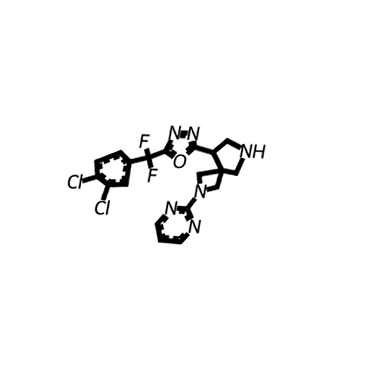 FC(F)(c1ccc(Cl)c(Cl)c1)c1nnc(C2CNCC23CN(c2ncccn2)C3)o1